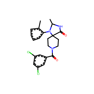 Cc1ccccc1N1C(C)NC(=O)C12CCN(C(=O)c1cc(Cl)cc(Cl)c1)CC2